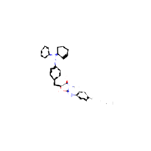 CCOC(=O)c1ccc(N=C2O/C(=C/c3ccc(N(c4ccccc4)C4C=CC=CC4)cc3)C(=O)N2CC)cc1